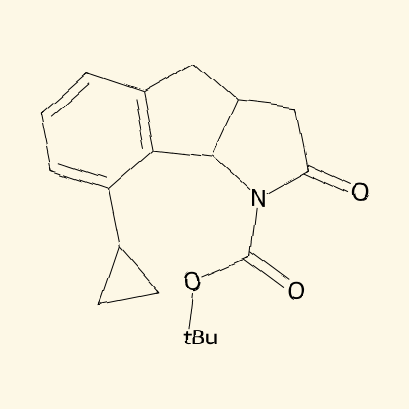 CC(C)(C)OC(=O)N1C(=O)CC2Cc3cccc(C4CC4)c3C21